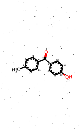 Cc1ccc(C(=O)c2ccc(O)cc2)cc1